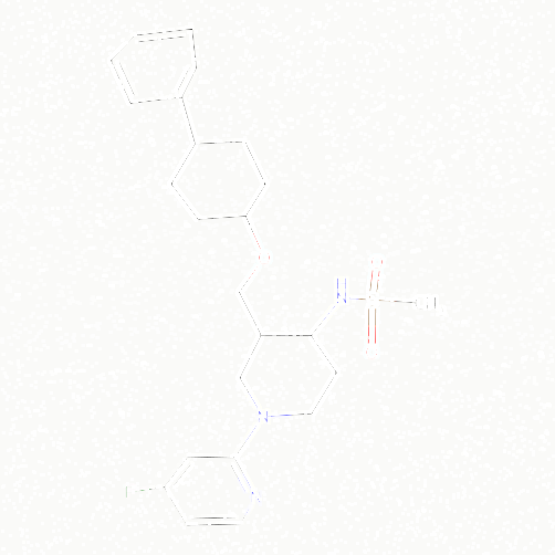 CS(=O)(=O)NC1CCN(c2cc(F)ccn2)CC1COC1CCC(c2ccccc2)CC1